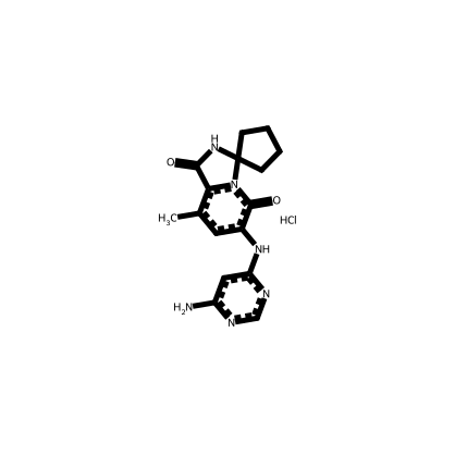 Cc1cc(Nc2cc(N)ncn2)c(=O)n2c1C(=O)NC21CCCC1.Cl